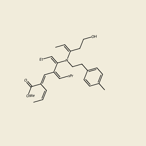 C\C=C/C(=C\C(=C\CCC)C(=C/CC)\N(CCc1ccc(C)cc1)/C(=C\C)CCO)C(=O)OC